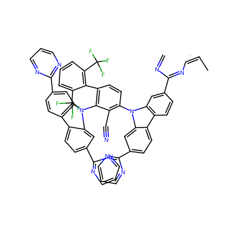 C=N/C(=N\C=C/C)c1ccc2c3ccc(-c4ncccn4)cc3n(-c3ccc(-c4c(C(F)(F)F)cccc4C(F)(F)F)c(-n4c5cc(-c6ncccn6)ccc5c5ccc(-c6ncccn6)cc54)c3C#N)c2c1